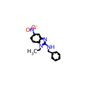 CCn1c(NCc2ccccc2)nc2cc([N+](=O)[O-])ccc21